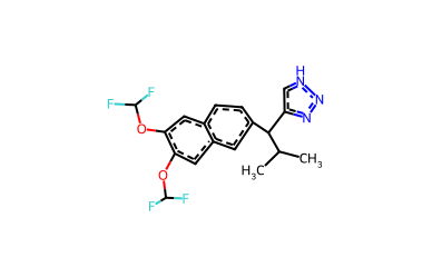 CC(C)C(c1ccc2cc(OC(F)F)c(OC(F)F)cc2c1)c1c[nH]nn1